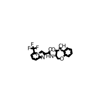 CN1C(=O)[C@@H](NC(=O)c2cn3c(C(F)(F)F)cccc3n2)COc2ccccc21